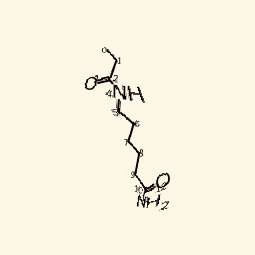 CCC(=O)NCCCCCC(N)=O